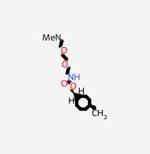 C=CC1CCC[C@@H]2[C@H](CC1)[C@@H]2COC(=O)NCCOCCOCCNC